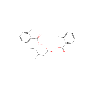 [CH2]CC(C)C[C](OOC(=O)c1ccccc1C)OOC(=O)c1ccccc1C